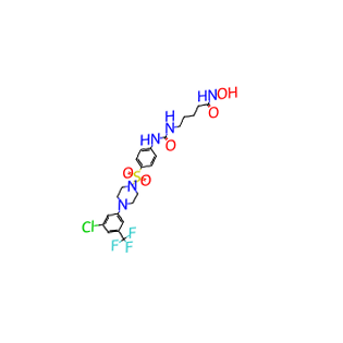 O=C(CCCCNC(=O)Nc1ccc(S(=O)(=O)N2CCN(c3cc(Cl)cc(C(F)(F)F)c3)CC2)cc1)NO